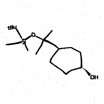 CC(C)(C)[Si](C)(C)OC(C)(C)[C@H]1CC[C@H](O)CC1